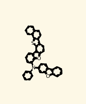 c1ccc(N(c2ccc3c(c2)oc2ccccc23)c2cccc3c2oc2ccc4c5ccc6ccccc6c5sc4c23)cc1